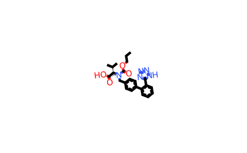 CCCOC(=O)N(Cc1ccc(-c2ccccc2-c2nnn[nH]2)cc1)[C@H](C(=O)O)C(C)C